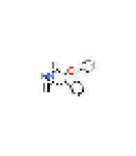 c1ccc(C2OC3C(C[C@H]4CC[C@H]3N4)c3ccccc32)cc1